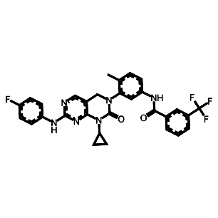 Cc1ccc(NC(=O)c2cccc(C(F)(F)F)c2)cc1N1Cc2cnc(Nc3ccc(F)cc3)nc2N(C2CC2)C1=O